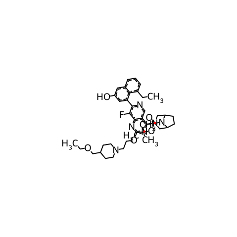 CCOCC1CCN(CCOc2nc(N3CC4CCC(C3)N4C(=O)OC(C)(C)C)c3cnc(-c4cc(O)cc5cccc(CC)c45)c(F)c3n2)CC1